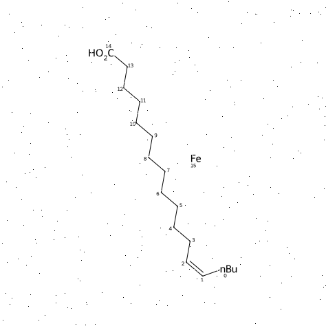 CCCC/C=C\CCCCCCCCCCCC(=O)O.[Fe]